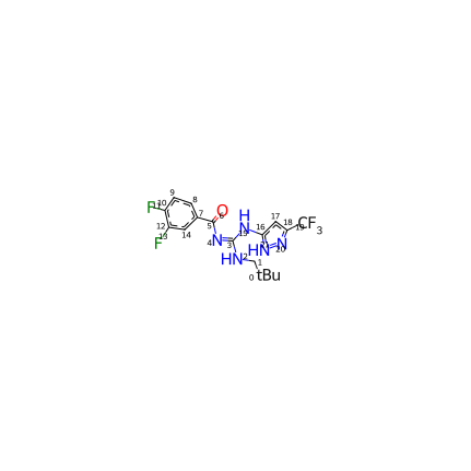 CC(C)(C)CN/C(=N/C(=O)c1ccc(F)c(F)c1)Nc1cc(C(F)(F)F)n[nH]1